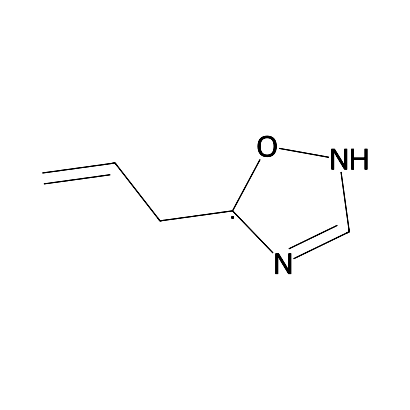 C=CC[C]1N=CNO1